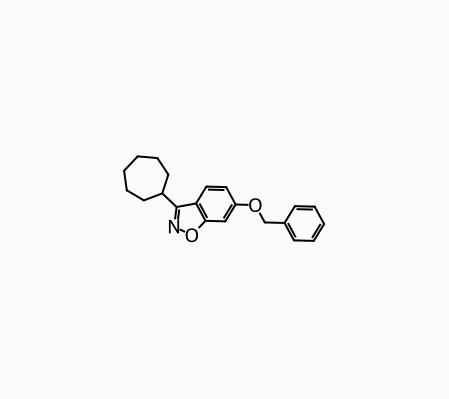 c1ccc(COc2ccc3c(C4CCCCCC4)noc3c2)cc1